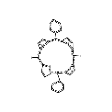 Ic1c2nc(c(-c3ccccc3)c3ccc(s3)c(I)c3nc(c(-c4ccccc4)c4ccc1[nH]4)C=C3)C=C2